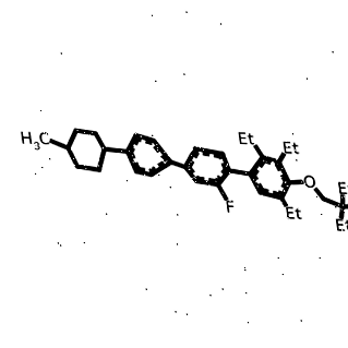 CCc1cc(-c2ccc(-c3ccc(C4CCC(C)CC4)cc3)cc2F)c(CC)c(CC)c1OCC(CC)(CC)CC